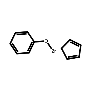 [CH]1C=CC=C1.[Zr][O]c1ccccc1